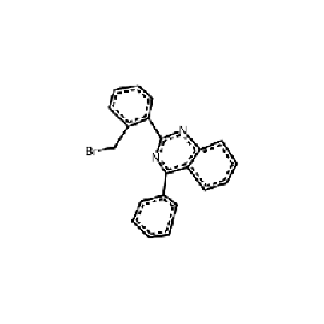 BrCc1ccccc1-c1nc(-c2ccccc2)c2ccccc2n1